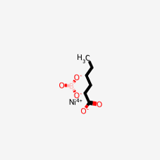 CCCCCC(=O)[O-].[Ni+4].[O-]B([O-])[O-]